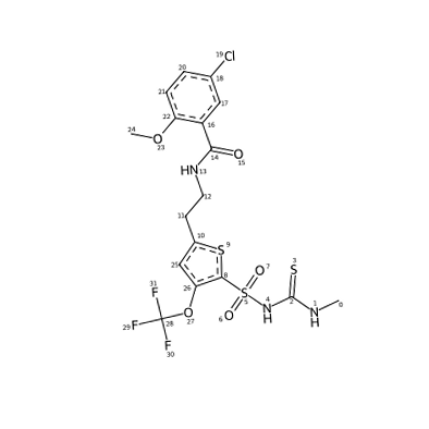 CNC(=S)NS(=O)(=O)c1sc(CCNC(=O)c2cc(Cl)ccc2OC)cc1OC(F)(F)F